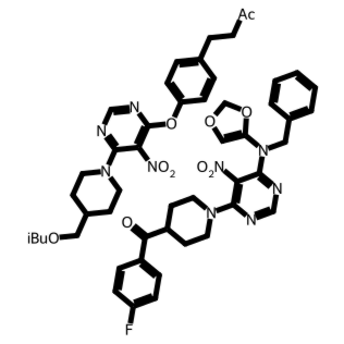 CC(=O)CCc1ccc(Oc2ncnc(N3CCC(COCC(C)C)CC3)c2[N+](=O)[O-])cc1.O=C(c1ccc(F)cc1)C1CCN(c2ncnc(N(Cc3ccccc3)C3=COCO3)c2[N+](=O)[O-])CC1